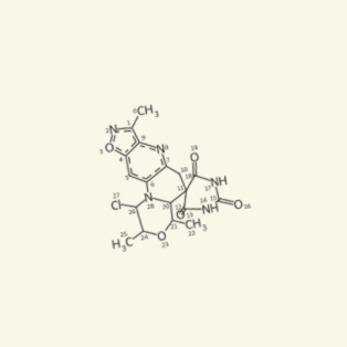 Cc1noc2cc3c(nc12)CC1(C(=O)NC(=O)NC1=O)C1C(C)OC(C)C(Cl)N31